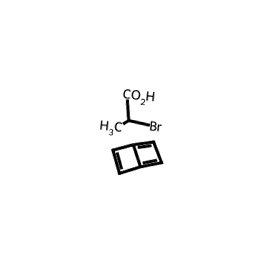 CC(Br)C(=O)O.c1cc2ccc1-2